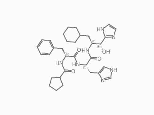 O=C(N[C@@H](Cc1ccccc1)C(=O)N[C@@H](Cc1c[nH]cn1)C(=O)N[C@@H](CC1CCCCC1)[C@@H](O)c1ncc[nH]1)C1CCCC1